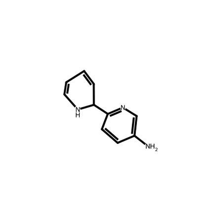 Nc1ccc(C2C=CC=CN2)nc1